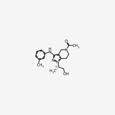 CC(=O)N1CCc2c(c(Nc3cccc(C)c3)nn2[C@@H](C)CO)C1